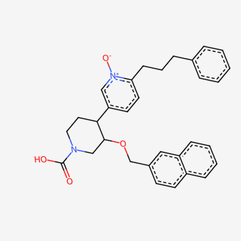 O=C(O)N1CCC(c2ccc(CCCc3ccccc3)[n+]([O-])c2)C(OCc2ccc3ccccc3c2)C1